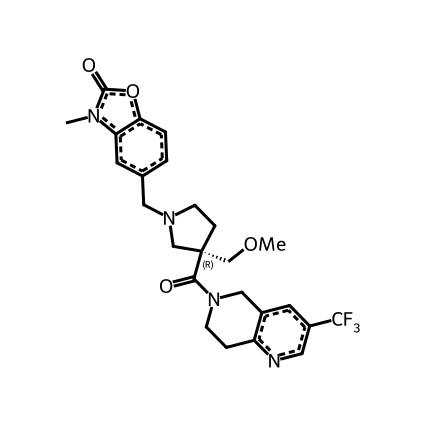 COC[C@@]1(C(=O)N2CCc3ncc(C(F)(F)F)cc3C2)CCN(Cc2ccc3oc(=O)n(C)c3c2)C1